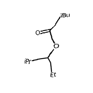 CCC(C)C(=O)OC(CC)C(C)C